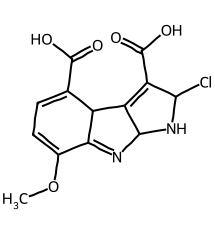 COC1=CC=C(C(=O)O)C2C1=NC1NC(Cl)C(C(=O)O)=C12